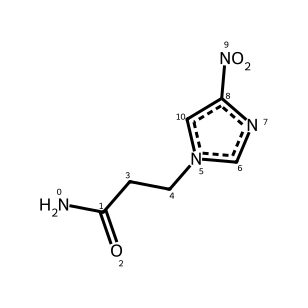 NC(=O)CCn1cnc([N+](=O)[O-])c1